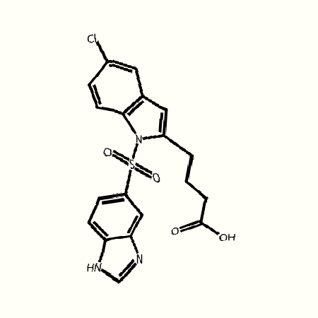 O=C(O)CCCc1cc2cc(Cl)ccc2n1S(=O)(=O)c1ccc2[nH]cnc2c1